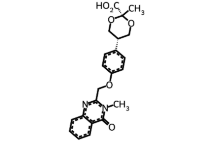 Cn1c(COc2ccc([C@H]3CO[C@@](C)(C(=O)O)OC3)cc2)nc2ccccc2c1=O